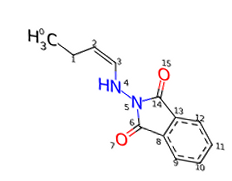 CC/C=C\NN1C(=O)c2ccccc2C1=O